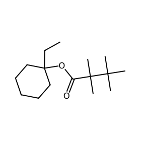 CCC1(OC(=O)C(C)(C)C(C)(C)C)CCCCC1